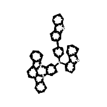 c1ccc2c(c1)oc1cccc(N(c3ccc(-c4ccc5c(c4)sc4ccccc45)cc3)c3ccc4c(c3)n3c5ccccc5c5ccc6c7ccccc7n4c6c53)c12